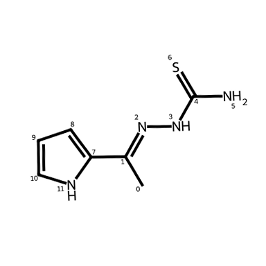 CC(=NNC(N)=S)c1ccc[nH]1